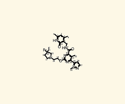 Cc1cc(C)c(CNC(=O)c2nc(OCCN3CCC(F)(F)C3)nc(-c3ccnn3C)c2C)c(=O)[nH]1